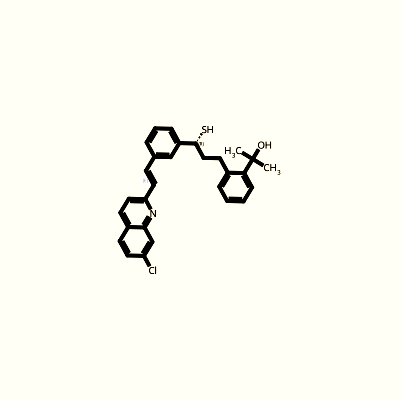 CC(C)(O)c1ccccc1CC[C@@H](S)c1cccc(/C=C/c2ccc3ccc(Cl)cc3n2)c1